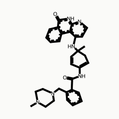 CN1CCN(Cc2ccccc2C(=O)NC2=CCC(C)(Nc3ccnc4[nH]c(=O)c5ccccc5c34)C=C2)CC1